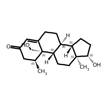 C[C@H]1CC(=O)C=C2CC[C@H]3[C@@H]4CC[C@H](O)[C@@]4(C)CC[C@@H]3[C@]21CO